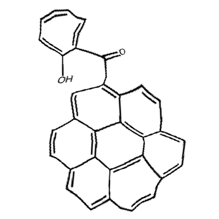 O=C(c1ccccc1O)c1cc2ccc3ccc4ccc5ccc6ccc1c1c6c5c4c3c21